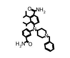 CC(C)c1c(C(N)=O)ccc(N(c2cccc(C(N)=O)c2)C2CCN(Cc3ccccc3)CC2)c1C(C)C